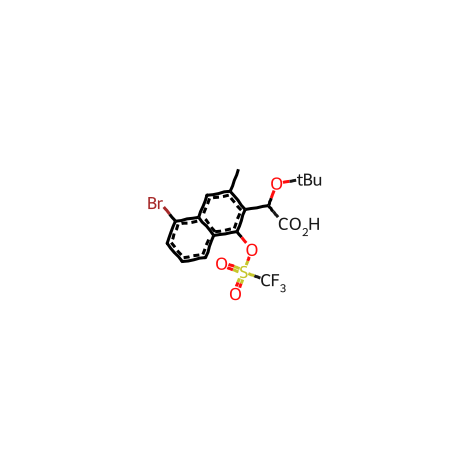 Cc1cc2c(Br)cccc2c(OS(=O)(=O)C(F)(F)F)c1C(OC(C)(C)C)C(=O)O